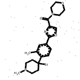 CCC1(c2ccc(-c3nc(C(=O)N4CCOCC4)co3)cc2C)CCN(C)CC1